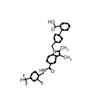 Cc1c(C)n(Cc2ccc(-c3ccccc3C(=O)O)cc2)c2ccc(C(=O)NCc3ccc(C(F)(F)F)cc3F)cc12